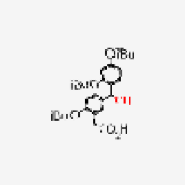 CC(C)COc1ccc(C(O)c2ccc(OCC(C)C)c(CC(=O)O)c2)c(OCC(C)C)c1